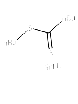 CCCCSC(=S)CCCC.[SnH2]